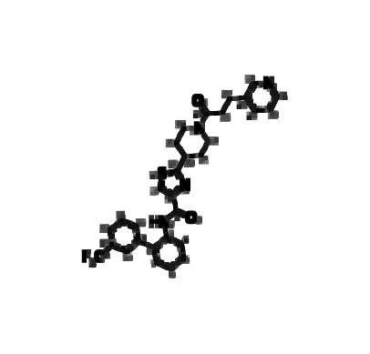 O=C(Nc1ccccc1-c1cccc(C(F)(F)F)c1)c1csc(C2CCN(C(=O)CCc3cccnc3)CC2)n1